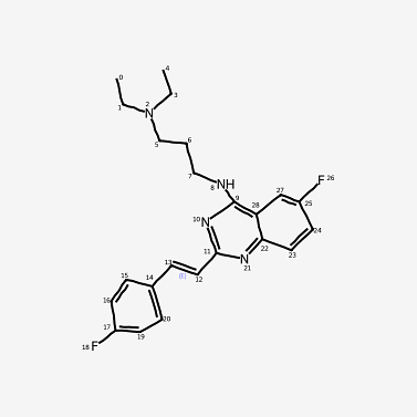 CCN(CC)CCCNc1nc(/C=C/c2ccc(F)cc2)nc2ccc(F)cc12